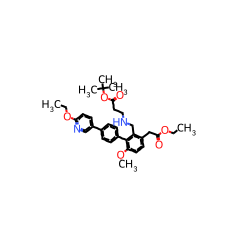 CCOC(=O)Cc1ccc(OC)c(-c2ccc(-c3ccc(OCC)nc3)cc2)c1CNCCC(=O)OC(C)(C)C